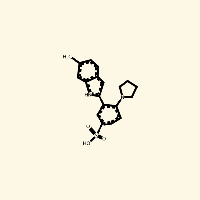 Cc1ccc2cc(-c3cc(S(=O)(=O)O)ccc3N3CCCC3)[nH]c2c1